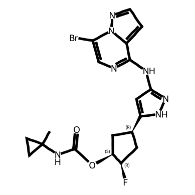 CC1(NC(=O)O[C@H]2C[C@@H](c3cc(Nc4ncc(Br)n5nccc45)n[nH]3)C[C@H]2F)CC1